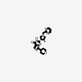 C[C@@H]1CN(Cc2ncccn2)C[C@H]1c1nn2c(C3CCOCC3)ncc2c(=O)[nH]1